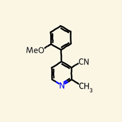 COc1ccccc1-c1ccnc(C)c1C#N